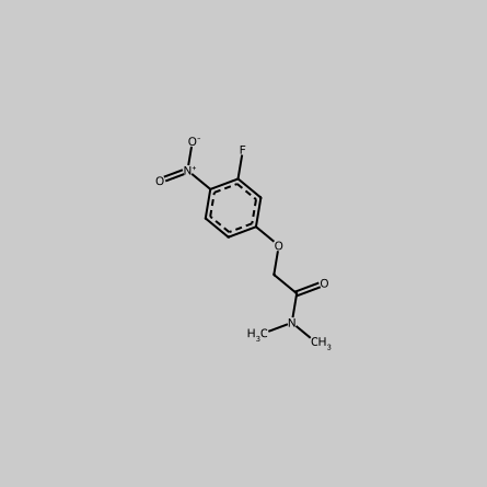 CN(C)C(=O)COc1ccc([N+](=O)[O-])c(F)c1